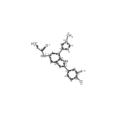 C=CC(=O)Nc1cc(-c2cn(C)cn2)c2[nH]c(-c3ccc(Cl)c(F)c3)cc2c1